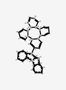 C1=CB2N3C=CC(n4c5ccccc5n5c6ccccc6nc45)=CB3N3C=CC=CB3N3N=CN=CB3N2C=C1